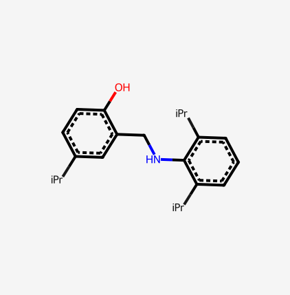 CC(C)c1ccc(O)c(CNc2c(C(C)C)cccc2C(C)C)c1